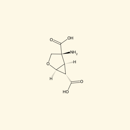 N[C@]1(C(=O)O)CO[C@@H]2[C@@H](C(=O)O)[C@@H]21